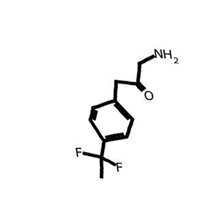 CC(F)(F)c1ccc(CC(=O)CN)cc1